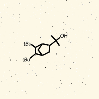 CC(C)(C)C1C2CC(C1C(C)(C)C)C(C(C)(C)O)C2